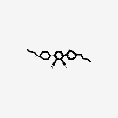 CCCCc1ccc(-c2ccc([C@H]3CC[C@H](OCCC)CC3)c(C#N)c2C#N)cc1